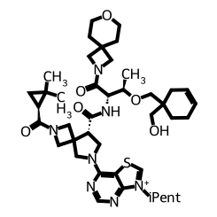 CCCC(C)[n+]1csc2c(N3C[C@@H](C(=O)N[C@H](C(=O)N4CC5(CCOCC5)C4)[C@@H](C)OCC4(CO)CC=CCC4)C4(CN(C(=O)[C@H]5CC5(C)C)C4)C3)ncnc21